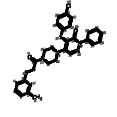 Cc1ccnc(SCC(=O)N2CCN(c3cnn(-c4ccccc4)c(=O)c3Sc3ccc(Cl)cc3)CC2)n1